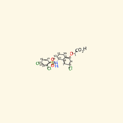 O=C(O)COc1cc(Cl)cc2c1CCC[C@H]2NS(=O)(=O)c1ccc(Cl)cc1Cl